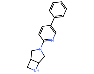 c1ccc(-c2ccc(N3CC4CNC4C3)nc2)cc1